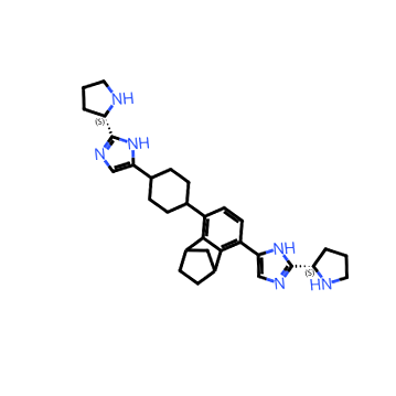 c1nc([C@@H]2CCCN2)[nH]c1-c1ccc(C2CCC(c3cnc([C@@H]4CCCN4)[nH]3)CC2)c2c1C1CCC2C1